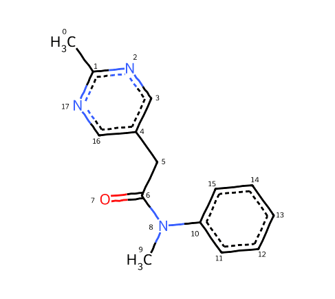 Cc1ncc(CC(=O)N(C)c2ccccc2)cn1